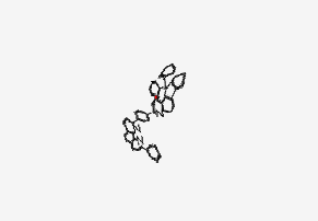 c1ccc(-c2ccc3ccc4ccc(-c5ccc(-c6ccc7c8c(ccc7n6)-c6ccccc6C8(c6ccccc6)c6ccccc6)cc5)nc4c3n2)cc1